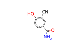 N#Cc1cc(C(N)=O)ccc1O